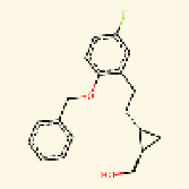 OC[C@@H]1C[C@H]1CCc1cc(F)ccc1OCc1ccccc1